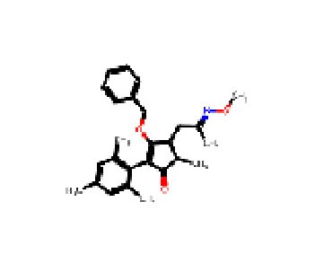 CO/N=C(\C)CC1C(OCc2ccccc2)=C(c2c(C)cc(C)cc2C)C(=O)C1C